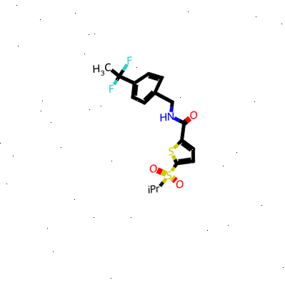 CC(C)S(=O)(=O)c1ccc(C(=O)NCc2ccc(C(C)(F)F)cc2)s1